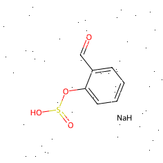 O=Cc1ccccc1OS(=O)O.[NaH]